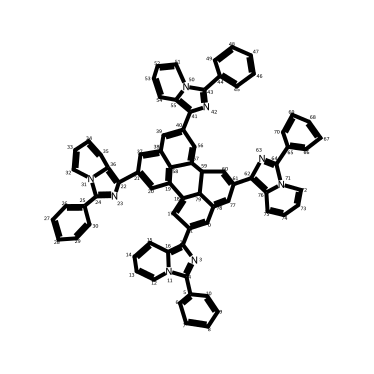 C1=C(c2nc(-c3ccccc3)n3ccccc23)C=C2c3cc(-c4nc(-c5ccccc5)n5ccccc45)cc4cc(-c5nc(-c6ccccc6)n6ccccc56)cc(c34)C3C=C(c4nc(-c5ccccc5)n5ccccc45)C=C1C23